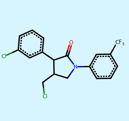 O=C1C(c2cccc(Cl)c2)C(CCl)CN1c1cccc(C(F)(F)F)c1